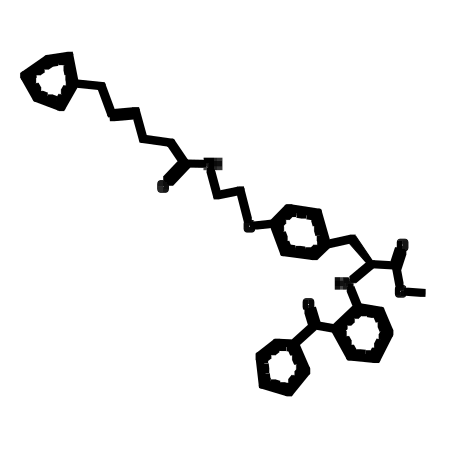 COC(=O)[C@H](Cc1ccc(OCCNC(=O)CCC=CCc2ccccc2)cc1)Nc1ccccc1C(=O)c1ccccc1